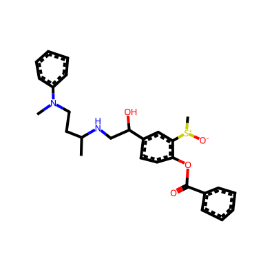 CC(CCN(C)c1ccccc1)NCC(O)c1ccc(OC(=O)c2ccccc2)c([S+](C)[O-])c1